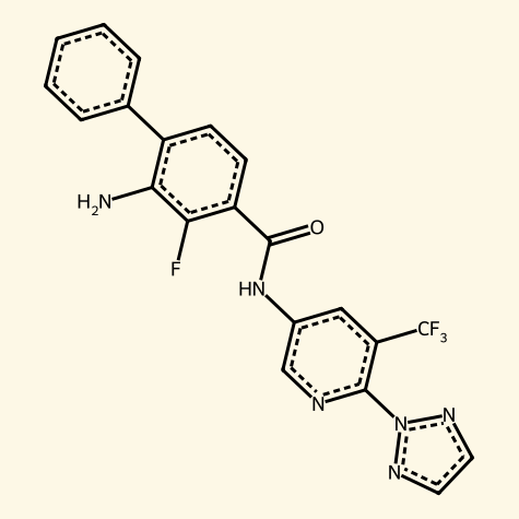 Nc1c(-c2ccccc2)ccc(C(=O)Nc2cnc(-n3nccn3)c(C(F)(F)F)c2)c1F